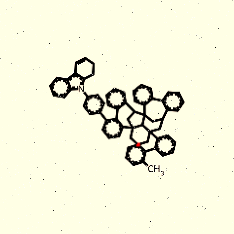 Cc1ccccc1-c1ccccc1C12CCCC34CC(c5ccccc5-c5c(-c6ccc(-n7c8c(c9ccccc97)C=CCC8)cc6)cccc53)C3(CC(C1)c1ccccc1-c1ccccc13)C24